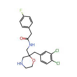 O=C(Cc1ccc(F)cc1)NCC1(Cc2ccc(Cl)c(Cl)c2)CNCCO1